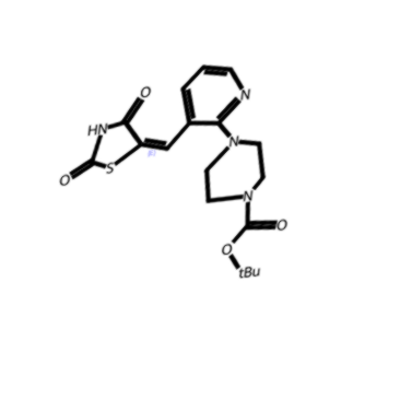 CC(C)(C)OC(=O)N1CCN(c2ncccc2/C=C2/SC(=O)NC2=O)CC1